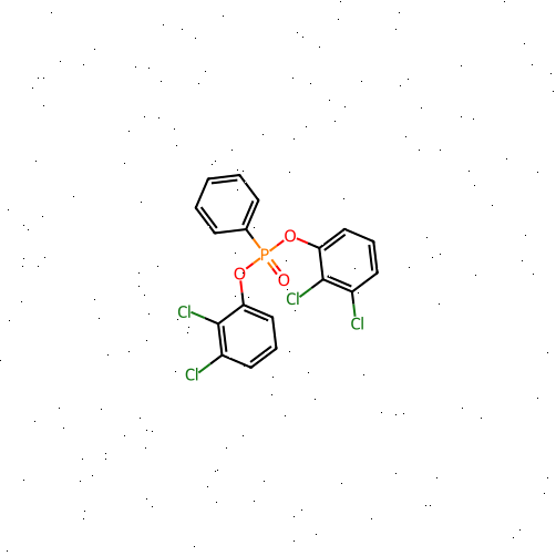 O=P(Oc1cccc(Cl)c1Cl)(Oc1cccc(Cl)c1Cl)c1ccccc1